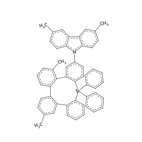 Cc1ccc2c(c1)-c1ccccc1[Si](c1ccccc1)(c1ccccc1)c1ccc(-n3c4ccc(C)cc4c4cc(C)ccc43)cc1-c1c(C)cccc1-2